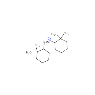 CC1(C)CCCCC1N.CNC1CCCCC1(C)C